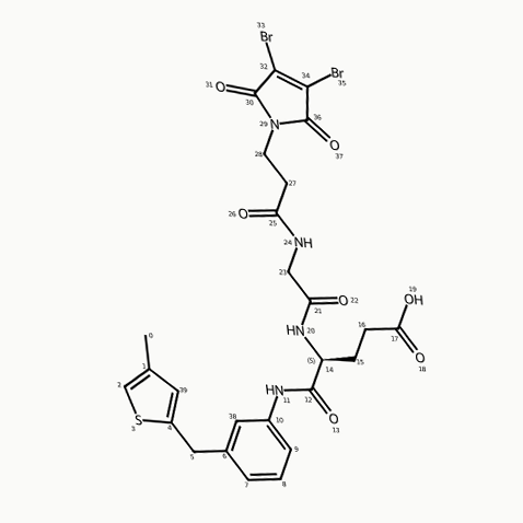 Cc1csc(Cc2cccc(NC(=O)[C@H](CCC(=O)O)NC(=O)CNC(=O)CCN3C(=O)C(Br)=C(Br)C3=O)c2)c1